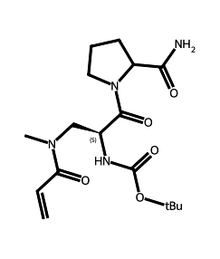 C=CC(=O)N(C)C[C@H](NC(=O)OC(C)(C)C)C(=O)N1CCCC1C(N)=O